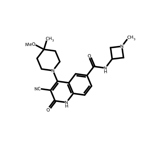 COC1(C)CCN(c2c(C#N)c(=O)[nH]c3ccc(C(=O)NC4CN(C)C4)cc23)CC1